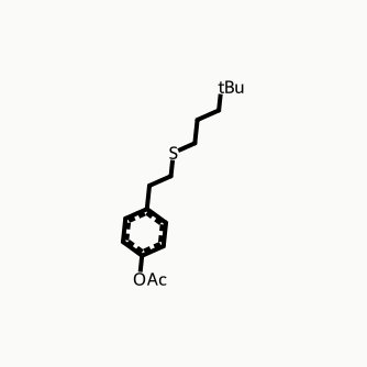 CC(=O)Oc1ccc(CCSCCCC(C)(C)C)cc1